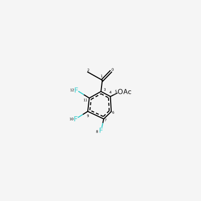 C=C(C)c1c(OC(C)=O)cc(F)c(F)c1F